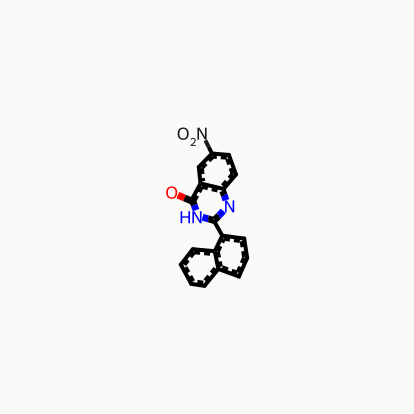 O=c1[nH]c(-c2cccc3ccccc23)nc2ccc([N+](=O)[O-])cc12